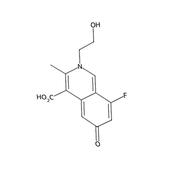 Cc1c(C(=O)O)c2cc(=O)cc(F)c-2cn1CCO